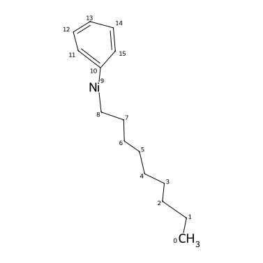 CCCCCCCC[CH2][Ni][c]1ccccc1